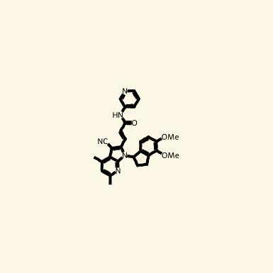 COc1ccc2c(c1OC)CCC2n1c(C=CC(=O)Nc2cccnc2)c(C#N)c2c(C)cc(C)nc21